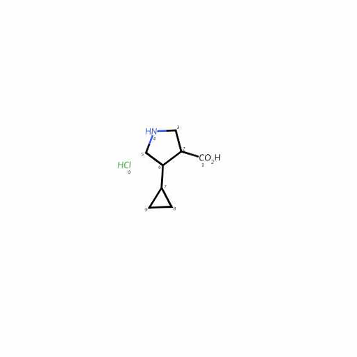 Cl.O=C(O)C1CNCC1C1CC1